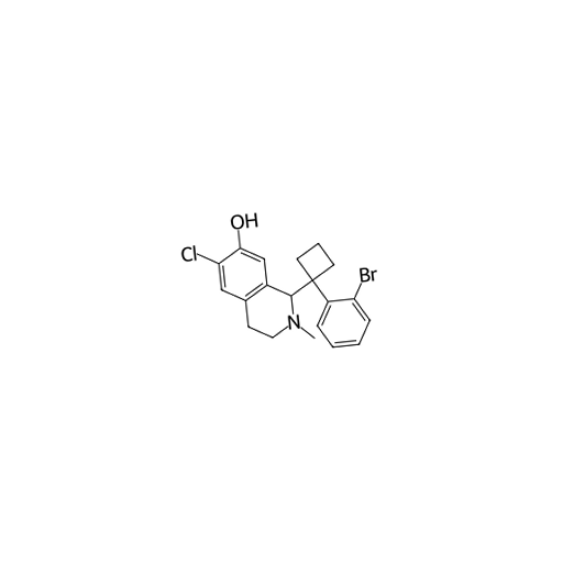 CN1CCc2cc(Cl)c(O)cc2C1C1(c2ccccc2Br)CCC1